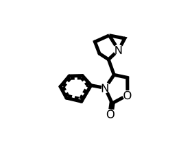 O=C1OCC(C2CCC3CN32)N1c1ccccc1